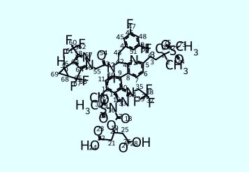 CC(C)(CCc1ccc(-c2ccc(Cl)c3c(N(C(=O)OC(CC(=O)O)CC(=O)O)S(C)(=O)=O)nn(CC(F)(F)F)c23)c([C@H](Cc2cc(F)cc(F)c2)NC(=O)Cn2nc(C(F)(F)F)c3c2C(F)(F)C2C[C@H]32)n1)S(C)(=O)=O